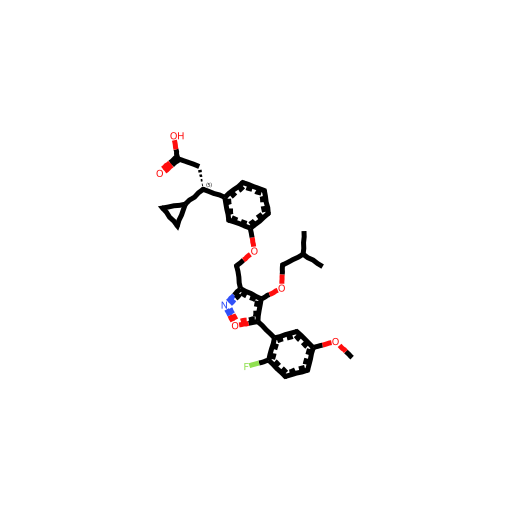 COc1ccc(F)c(-c2onc(COc3cccc([C@@H](CC(=O)O)C4CC4)c3)c2OCC(C)C)c1